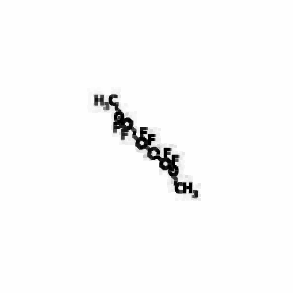 CCCCOc1ccc(CCc2ccc(C3=CCC(c4ccc(OCCCC)c(F)c4F)CC3)c(F)c2F)c(F)c1F